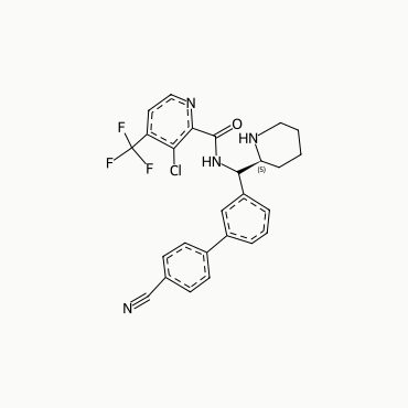 N#Cc1ccc(-c2cccc(C(NC(=O)c3nccc(C(F)(F)F)c3Cl)[C@@H]3CCCCN3)c2)cc1